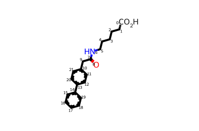 O=C(O)CCCCCNC(=O)Cc1ccc(-c2ccccc2)cc1